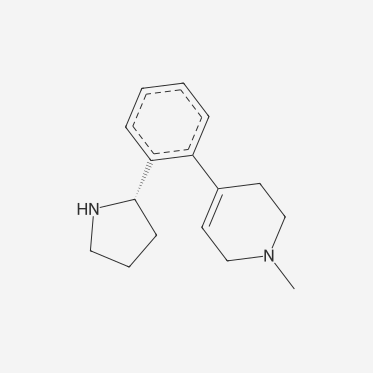 CN1CC=C(c2ccccc2[C@@H]2CCCN2)CC1